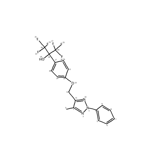 Cc1nn(-c2ccccc2)nc1COc1ccc(C(O)(C(F)(F)F)C(F)(F)F)cc1